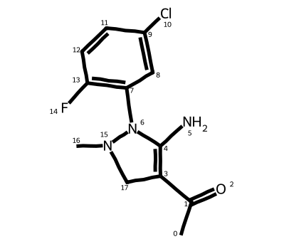 CC(=O)C1=C(N)N(c2cc(Cl)ccc2F)N(C)C1